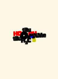 CNC(=S)N(O)C(C)c1cc(C(C)(C)C)c(O)c(C(C)(C)C)c1